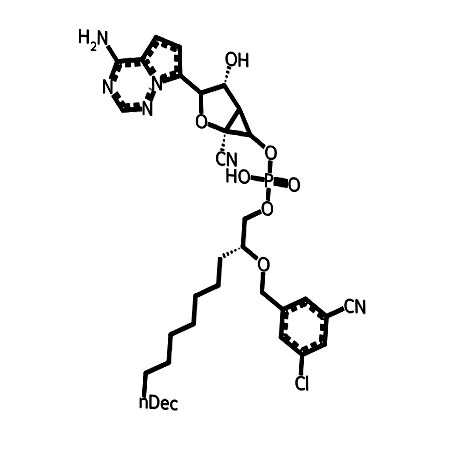 CCCCCCCCCCCCCCCCC[C@H](COP(=O)(O)OC1C2[C@@H](O)C(c3ccc4c(N)ncnn34)O[C@]12C#N)OCc1cc(Cl)cc(C#N)c1